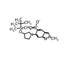 Cn1cc2cc([N+](=O)[O-])c(N3CCC(O[Si](C)(C)C(C)(C)C)C3)cc2n1